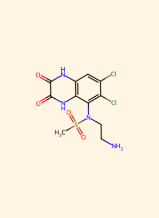 CS(=O)(=O)N(CCN)c1c(Cl)c(Cl)cc2[nH]c(=O)c(=O)[nH]c12